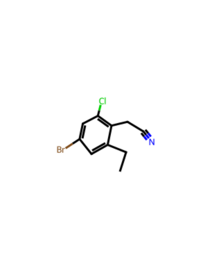 CCc1cc(Br)cc(Cl)c1CC#N